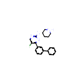 Clc1cnc(N[C@H]2CCCNC2)nc1-c1cccc(-c2ccccc2)c1